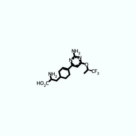 C[C@@H](Oc1cc(C2=CCC(CC(N)C(=O)O)CC2)nc(N)n1)C(F)(F)F